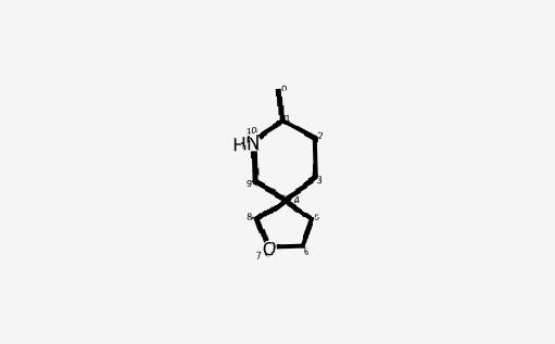 CC1CCC2(CCOC2)CN1